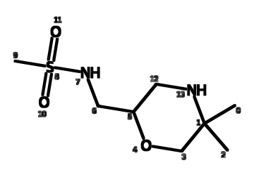 CC1(C)COC(CNS(C)(=O)=O)CN1